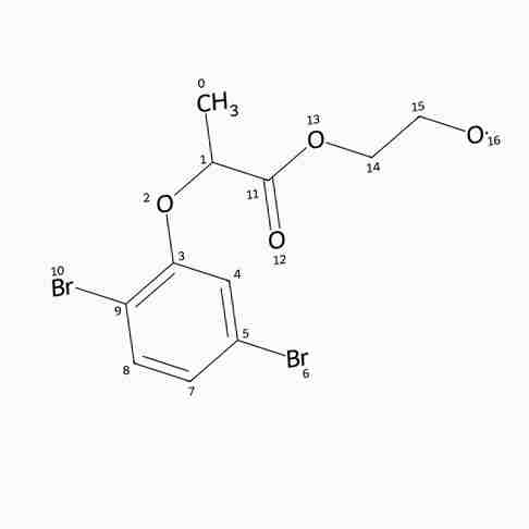 CC(Oc1cc(Br)ccc1Br)C(=O)OCC[O]